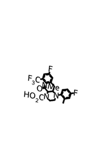 CNC(=O)C1C(Cc2cc(F)cc(C(F)(F)F)c2)N(c2ccc(F)cc2C)CCN1C(=O)O